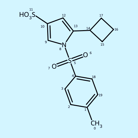 Cc1ccc(S(=O)(=O)n2cc(S(=O)(=O)O)cc2C2CCC2)cc1